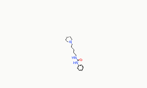 O=C(NCCCCCN1CC[CH]CC1)Nc1ccccc1